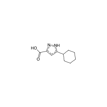 O=C(O)c1cc(C2CCCCC2)[nH]n1